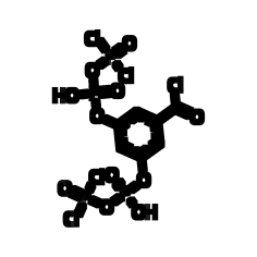 O=C(Cl)c1cc(OP(=O)(O)OP(=O)(Cl)Cl)cc(OP(=O)(O)OP(=O)(Cl)Cl)c1